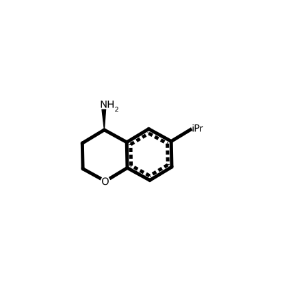 CC(C)c1ccc2c(c1)[C@H](N)CCO2